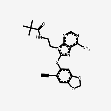 C#Cc1cc2c(cc1Sc1nc3c(N)ncnc3n1CCNC(=O)C(C)(C)C)OCO2